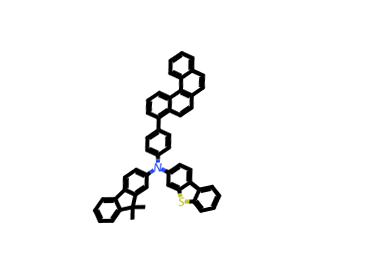 CC1(C)c2ccccc2-c2ccc(N(c3ccc(-c4cccc5c4ccc4ccc6ccccc6c45)cc3)c3ccc4c(c3)sc3ccccc34)cc21